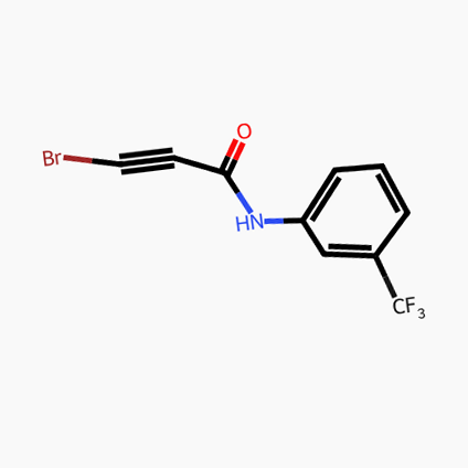 O=C(C#CBr)Nc1cccc(C(F)(F)F)c1